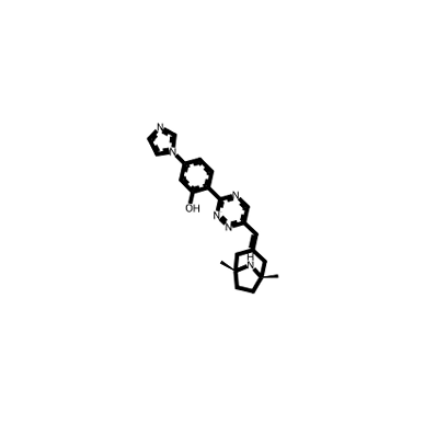 C[C@]12CC[C@](C)(C/C(=C\c3cnc(-c4ccc(-n5ccnc5)cc4O)nn3)C1)N2